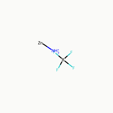 F[B-](F)(F)F.[NH3+][Zn]